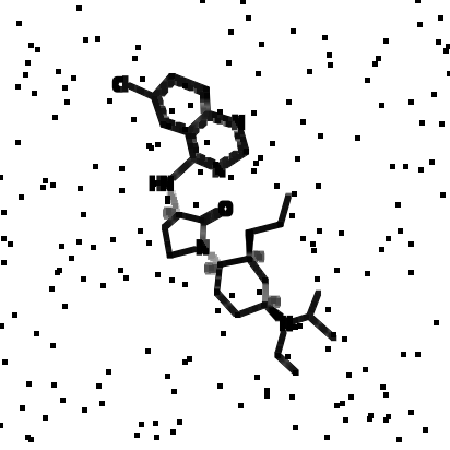 CCC[C@H]1C[C@@H](N(CC)C(C)C)CC[C@@H]1N1CC[C@H](Nc2ncnc3ccc(Cl)cc23)C1=O